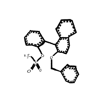 O=S(=O)(Oc1ccccc1-c1c(OCc2ccccc2)ccc2ccccc12)C(F)(F)F